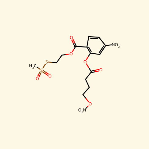 CS(=O)(=O)SCCOC(=O)c1ccc([N+](=O)[O-])cc1OC(=O)CCCO[N+](=O)[O-]